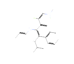 C=C(/C(F)=C\N(C)F)/C(N/C=C/C)=C(/CC(C)C)C(=CC)/C=C\C